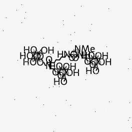 CN[C@@H](CC(=O)NCCCCCC(=O)N(CCO[C@H]1O[C@H](CO)[C@@H](O)[C@H](O)[C@@H]1O)CCO[C@H]1O[C@H](CO)[C@@H](O)[C@H](O)[C@@H]1O)C(=O)NCCO[C@H]1O[C@H](CO)[C@@H](O)[C@H](O)[C@@H]1O